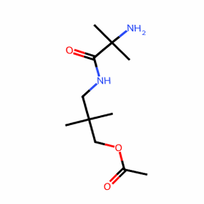 CC(=O)OCC(C)(C)CNC(=O)C(C)(C)N